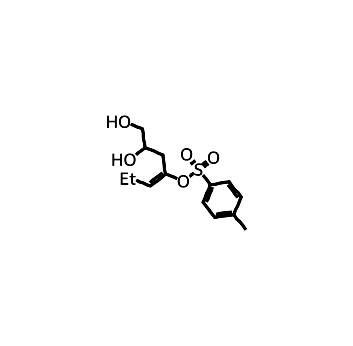 CCC=C(CC(O)CO)OS(=O)(=O)c1ccc(C)cc1